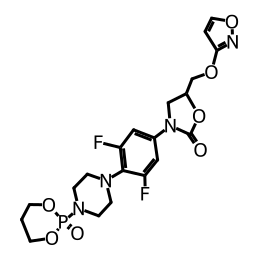 O=C1OC(COc2ccon2)CN1c1cc(F)c(N2CCN(P3(=O)OCCCO3)CC2)c(F)c1